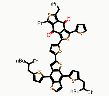 CCCCC(CC)Cc1ccc(-c2c3cc(-c4ccc(-c5sc(-c6cccs6)c6c5C(=O)c5c(CC)sc(CC(C)C)c5C6=O)s4)sc3c(-c3ccc(CC(CC)CCCC)s3)c3ccsc23)s1